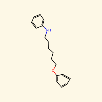 c1ccc(NCCCCCCOc2ccccc2)cc1